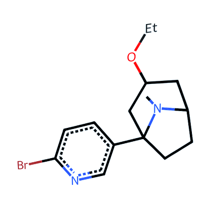 CCOC1CC2CCC(c3ccc(Br)nc3)(C1)N2C